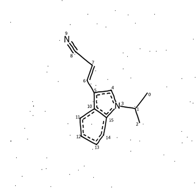 CC(C)n1cc(/C=C/C#N)c2ccccc21